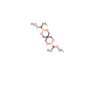 COC(C)P1OCC2(CO1)COP(C(C)OC)OC2